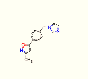 Cc1cc(-c2ccc(Cn3ccnc3)cc2)on1